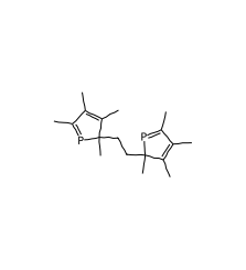 CC1=PC(C)(CCC2(C)P=C(C)C(C)=C2C)C(C)=C1C